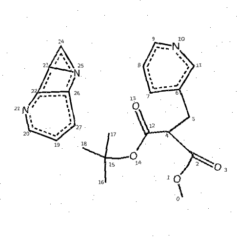 COC(=O)C(Cc1cccnc1)C(=O)OC(C)(C)C.c1cnc2c3cn-3c2c1